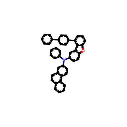 c1ccc(-c2ccc(-c3cccc4oc5ccc(N(c6ccccc6)c6ccc7c(ccc8ccccc87)c6)cc5c34)cc2)cc1